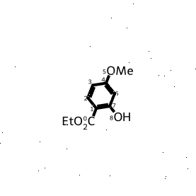 CCOC(=O)c1ccc(OC)cc1O